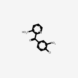 O=C(O)c1cccnc1C(=O)c1ccc(Cl)c([N+](=O)[O-])c1